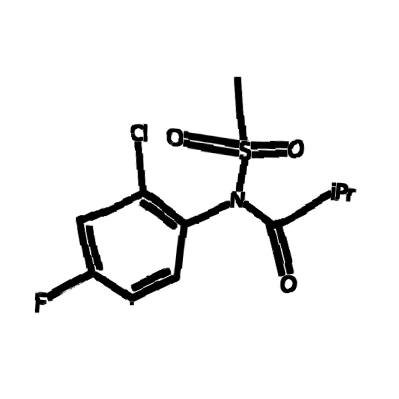 CC(C)C(=O)N(c1c[c]c(F)cc1Cl)S(C)(=O)=O